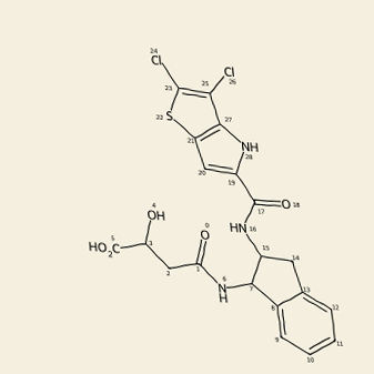 O=C(CC(O)C(=O)O)NC1c2ccccc2CC1NC(=O)c1cc2sc(Cl)c(Cl)c2[nH]1